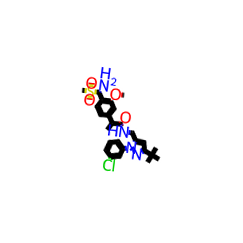 COc1cc(C(C)C(=O)NCc2cc(C(C)(C)C)nn2-c2cccc(Cl)c2)ccc1C(N)S(C)(=O)=O